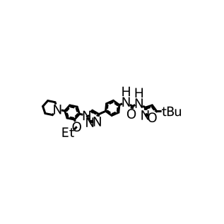 CCOc1cc(N2CCCCC2)ccc1-n1cc(-c2ccc(NC(=O)Nc3cc(C(C)(C)C)on3)cc2)nn1